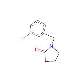 O=C1C=CCN1Cc1cccc(I)c1